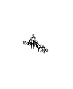 Cc1c(-c2ccc(NC(=O)[C@@H](NC(=O)OC(C)(C)C)C3CCC(C)CC3)cc2F)ccc(=O)n1C